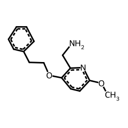 COc1ccc(OCCc2ccccc2)c(CN)n1